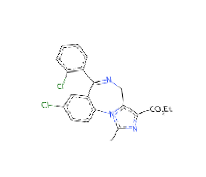 CCOC(=O)c1nc(C)n2c1CN=C(c1ccccc1Cl)c1cc(Cl)ccc1-2